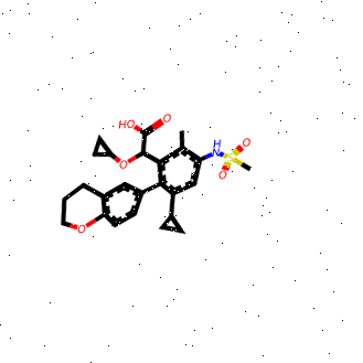 Cc1c(NS(C)(=O)=O)cc(C2CC2)c(-c2ccc3c(c2)CCCO3)c1C(OC1CC1)C(=O)O